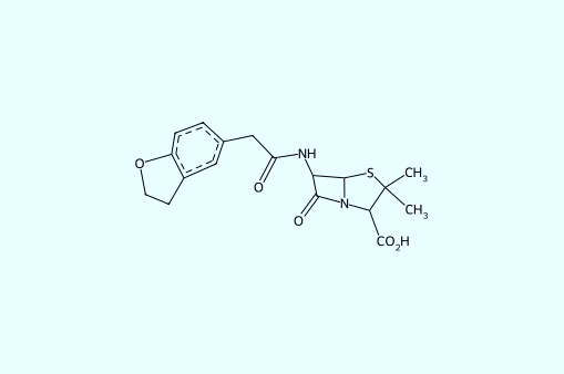 CC1(C)SC2C(NC(=O)Cc3ccc4c(c3)CCO4)C(=O)N2C1C(=O)O